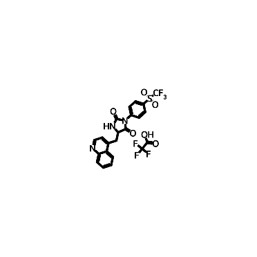 O=C(O)C(F)(F)F.O=C1NC(Cc2ccnc3ccccc23)C(=O)N1c1ccc(S(=O)(=O)C(F)(F)F)cc1